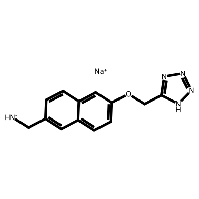 [NH-]Cc1ccc2cc(OCc3nnn[nH]3)ccc2c1.[Na+]